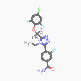 CCn1c(-c2ccc(C(N)=O)cc2F)nnc1C(C)(C)Oc1c(F)cc(Cl)cc1F